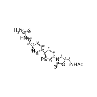 CC(=O)NCC1CN(c2ccc(-c3ccc(C=NNC(N)=S)nc3)c(F)c2)C(=O)O1